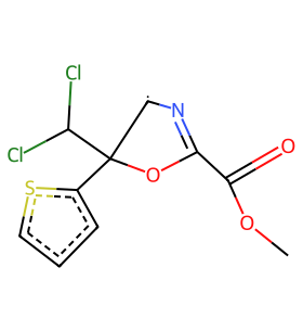 COC(=O)C1=N[CH]C(c2cccs2)(C(Cl)Cl)O1